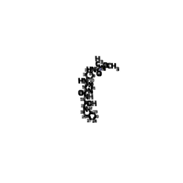 CO/N=C(\C)C(=O)NC1CCC(Nc2cc(C(=O)NC[C@H](O)CN3CCc4ccccc4C3)ncn2)CC1